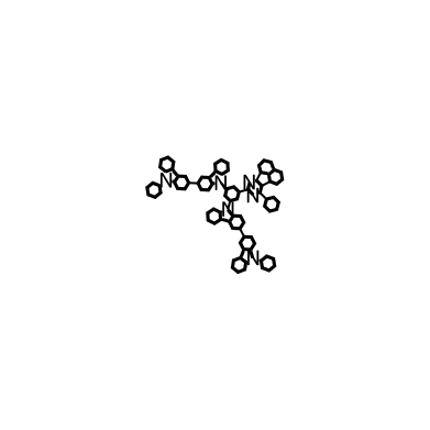 c1ccc(-c2nc(-c3cc(-n4c5ccccc5c5cc(-c6ccc7c(c6)c6ccccc6n7-c6ccccc6)ccc54)cc(-n4c5ccccc5c5cc(-c6ccc7c(c6)c6ccccc6n7-c6ccccc6)ccc54)c3)nc3c2-c2cccc4cccc-3c24)cc1